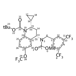 COC(=O)N(Cc1cc(C(F)(F)F)cc(C(F)(F)F)c1)[C@H]1C[C@@H](C2CC2)N(C(=O)OC(C)(C)C)c2ccc(OC(F)(F)F)cc21